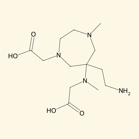 CN1CCN(CC(=O)O)CC(CCN)(N(C)CC(=O)O)C1